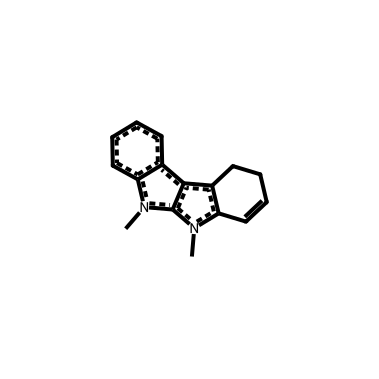 Cn1c2c(c3c4ccccc4n(C)c31)CCC=C2